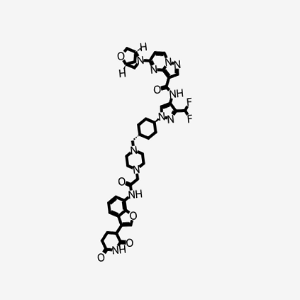 O=C1CCC(c2coc3c(NC(=O)CN4CCN(C[C@H]5CC[C@H](n6cc(NC(=O)c7cnn8ccc(N9C[C@@H]%10C[C@H]9CO%10)nc78)c(C(F)F)n6)CC5)CC4)cccc23)C(=O)N1